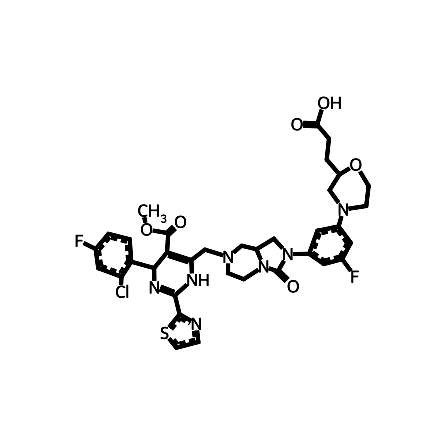 COC(=O)C1=C(CN2CCN3C(=O)N(c4cc(F)cc(N5CCOC(CCC(=O)O)C5)c4)CC3C2)NC(c2nccs2)=NC1c1ccc(F)cc1Cl